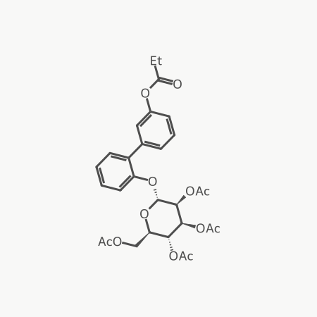 CCC(=O)Oc1cccc(-c2ccccc2O[C@H]2O[C@H](COC(C)=O)[C@@H](OC(C)=O)[C@H](OC(C)=O)[C@@H]2OC(C)=O)c1